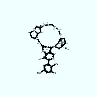 CC(C)c1c(Cl)cc(O)cc1-c1ncc2c3nc(nc2c1F)OC[C@]12CCCN1C[C@@H](C2)OCCCOC[C@@]12CC[C@@H](CN3C1)N2